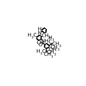 Cc1cc(C)c(Nc2ccccc2)c(C)c1NC(=O)c1cc(C(C)(C)C)c(O)c(C(C)(C)C)c1